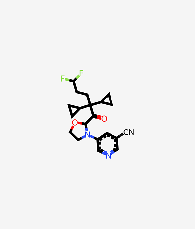 N#Cc1cncc(N2CCOC2C(=O)C(CCC(F)F)(C2CC2)C2CC2)c1